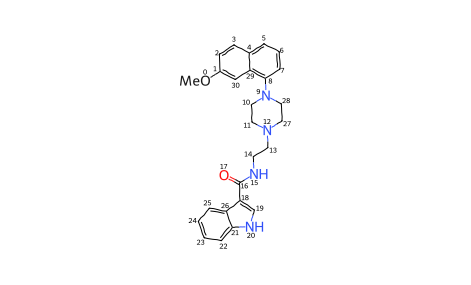 COc1ccc2cccc(N3CCN(CCNC(=O)c4c[nH]c5ccccc45)CC3)c2c1